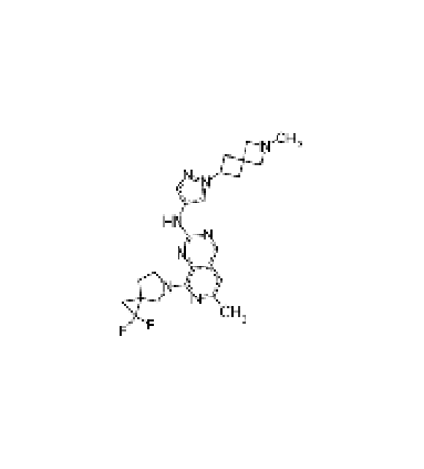 Cc1cc2cnc(Nc3cnn(C4CC5(C4)CN(C)C5)c3)nc2c(N2CCC3(C2)CC3(F)F)n1